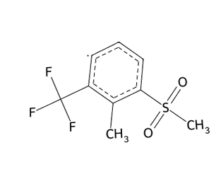 Cc1c(C(F)(F)F)[c]ccc1S(C)(=O)=O